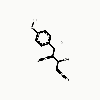 COc1ccc(CC(=C=O)C(O)C=C=O)cc1.[Cr]